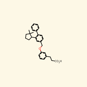 CC1(C)CCCC1c1cc(COc2cccc(CCC(=O)O)c2)ccc1-c1ccccc1